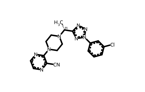 C[C@H](c1nnn(-c2cccc(Cl)c2)n1)N1CCN(c2nccnc2C#N)CC1